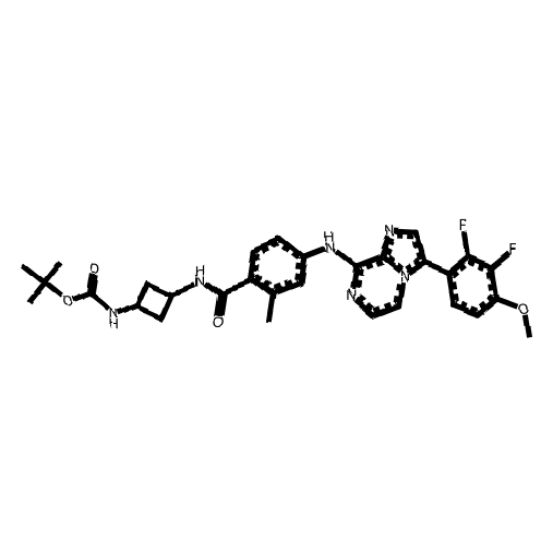 COc1ccc(-c2cnc3c(Nc4ccc(C(=O)NC5CC(NC(=O)OC(C)(C)C)C5)c(C)c4)nccn23)c(F)c1F